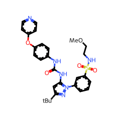 COCCNS(=O)(=O)c1cccc(-n2nc(C(C)(C)C)cc2NC(=O)Nc2ccc(Oc3ccncc3)cc2)c1